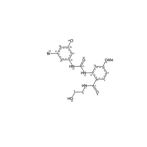 COc1ccc(C(=O)NCCO)c(NC(=O)Nc2cc(Cl)cc(Br)c2)c1